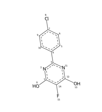 Oc1nc(-c2ccc(Cl)cc2)nc(O)c1F